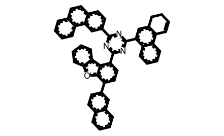 C1=Cc2c(cc(-c3nc(-c4ccc5ccc6ccccc6c5c4)nc(-c4ccc(-c5ccc6ccccc6c5)c5oc6ccccc6c45)n3)c3ccccc23)CC1